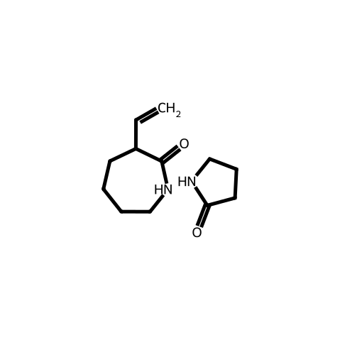 C=CC1CCCCNC1=O.O=C1CCCN1